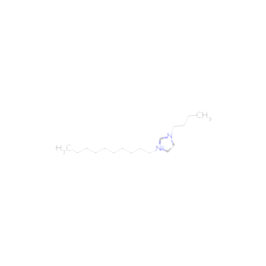 [CH2]CCCCCCCCC[n+]1ccn(CCCC)c1